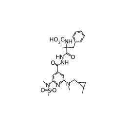 CC1CC1CN(C)c1cc(C(=O)NNC(=O)C(C)(Cc2ccccc2)NC(=O)O)cc(N(C)S(C)(=O)=O)n1